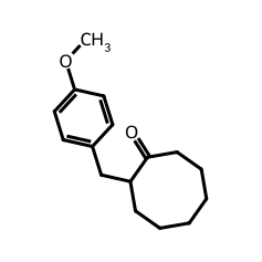 COc1ccc(CC2CCCCCCC2=O)cc1